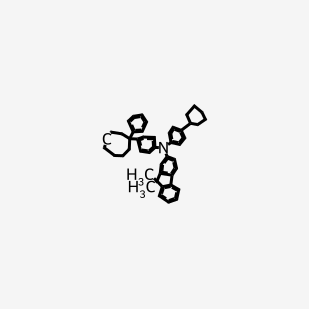 CC1(C)c2ccccc2-c2ccc(N(c3ccc(C4CCCCC4)cc3)c3ccc(C4(c5ccccc5)CCCCCCC4)cc3)cc21